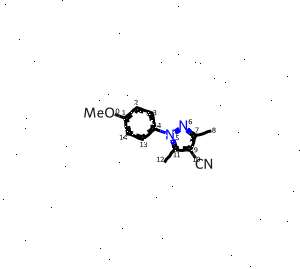 COc1ccc(-n2nc(C)c(C#N)c2C)cc1